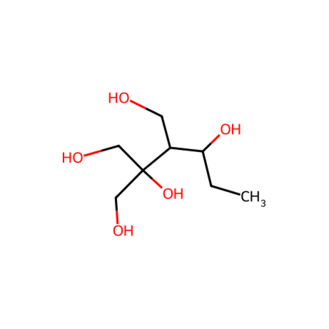 CCC(O)C(CO)C(O)(CO)CO